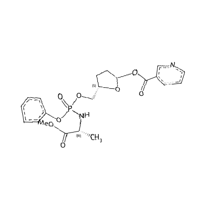 COC(=O)[C@@H](C)NP(=O)(OC[C@@H]1CCC(OC(=O)c2cccnc2)O1)Oc1ccccc1